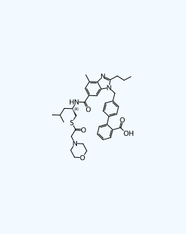 CCCc1nc2c(C)cc(C(=O)N[C@@H](CSC(=O)CN3CCOCC3)CC(C)C)cc2n1Cc1ccc(-c2ccccc2C(=O)O)cc1